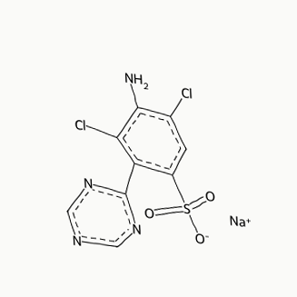 Nc1c(Cl)cc(S(=O)(=O)[O-])c(-c2ncncn2)c1Cl.[Na+]